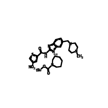 CN1CCN(Cc2ccc3nc(NC(=O)c4cc([N+](=O)[O-])cs4)n([C@@H]4CCCCN(C(=O)OC(C)(C)C)C4)c3c2)CC1